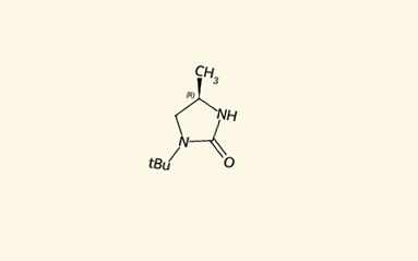 C[C@@H]1CN(C(C)(C)C)C(=O)N1